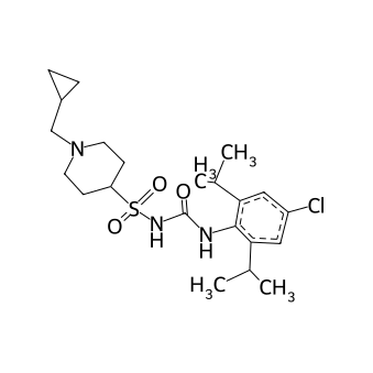 CC(C)c1cc(Cl)cc(C(C)C)c1NC(=O)NS(=O)(=O)C1CCN(CC2CC2)CC1